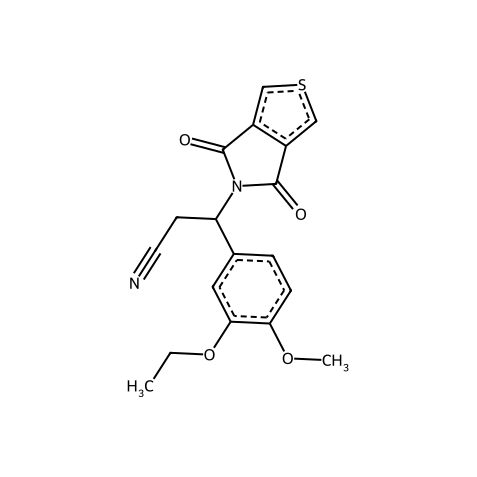 CCOc1cc(C(CC#N)N2C(=O)c3cscc3C2=O)ccc1OC